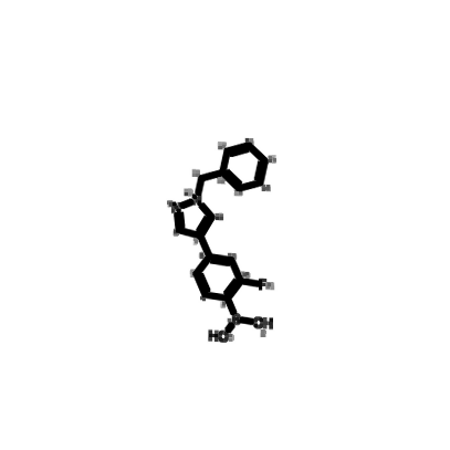 OB(O)c1ccc(-c2cnn(Cc3ccccc3)c2)cc1F